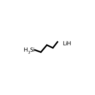 CCCC[SiH3].[LiH]